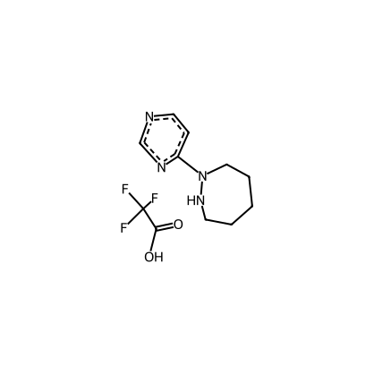 O=C(O)C(F)(F)F.c1cc(N2CCCCCN2)ncn1